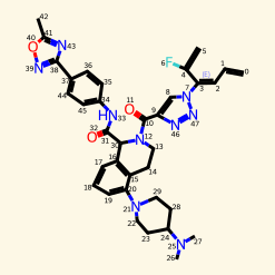 C=C/C=C(\C(=C)F)n1cc(C(=O)N2CCc3c(cccc3N3CCC(N(C)C)CC3)C2C(=O)Nc2ccc(-c3noc(C)n3)cc2)nn1